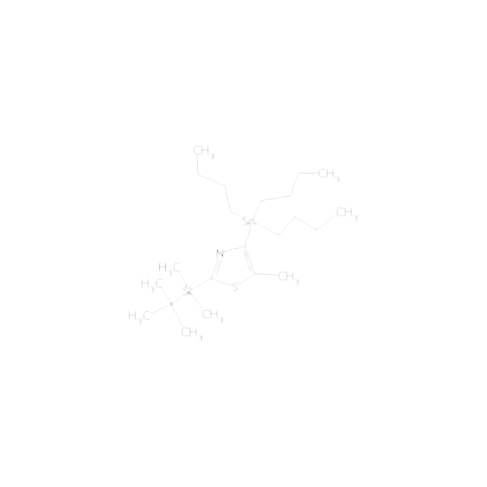 CCC[CH2][Sn]([CH2]CCC)([CH2]CCC)[c]1nc([Si](C)(C)C(C)(C)C)sc1C